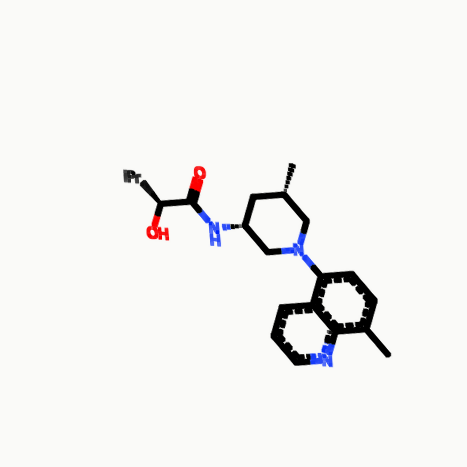 Cc1ccc(N2C[C@@H](C)C[C@@H](NC(=O)[C@@H](O)C(C)C)C2)c2cccnc12